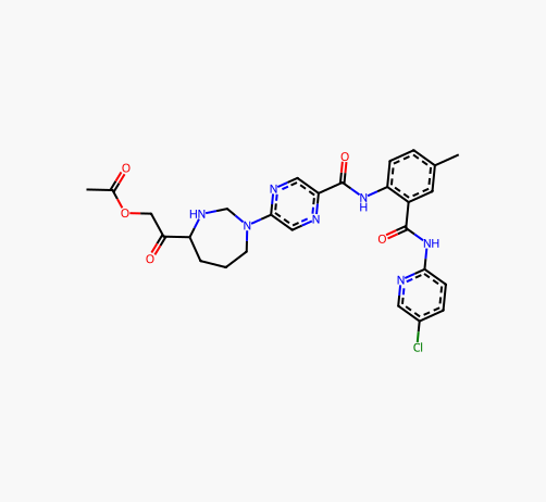 CC(=O)OCC(=O)C1CCCN(c2cnc(C(=O)Nc3ccc(C)cc3C(=O)Nc3ccc(Cl)cn3)cn2)CN1